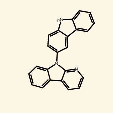 c1ccc2c(c1)[nH]c1ccc(-n3c4ccccc4c4cccnc43)cc12